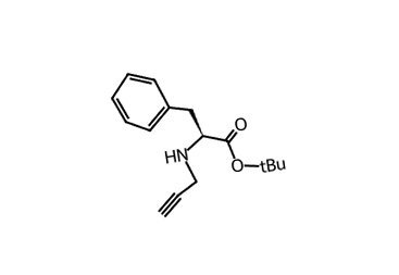 C#CCN[C@@H](Cc1ccccc1)C(=O)OC(C)(C)C